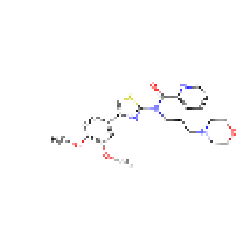 COc1ccc(-c2csc(N(CCCN3CCOCC3)C(=O)c3ccccn3)n2)cc1OC